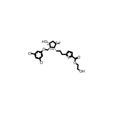 O=C(OCCO)c1ccc(CCC[C@@H]2[C@@H](COc3cc(Cl)cc(Cl)c3)[C@H](O)C[C@H]2F)s1